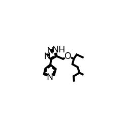 CCC(C)CCC(CC)OCc1[nH]nnc1-c1ccncc1